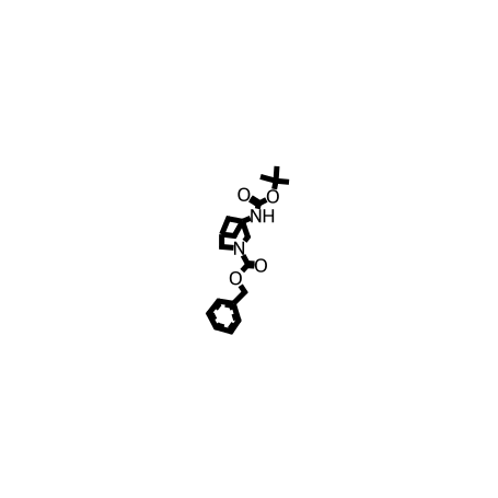 CC(C)(C)OC(=O)NC12CC(CN(C(=O)OCc3ccccc3)C1)C2